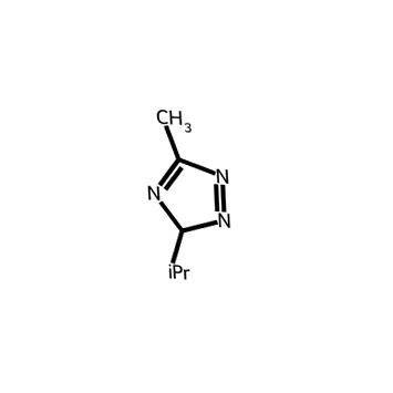 CC1=NC(C(C)C)N=N1